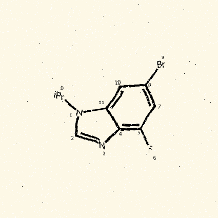 CC(C)n1cnc2c(F)cc(Br)cc21